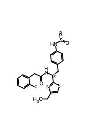 CCc1csc([C@H](Cc2ccc(N[SH](=O)=O)cc2)NC(=O)Cc2ccccc2F)n1